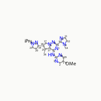 COc1cnc(Nc2nc(-c3nccn3C)nn3cc(-c4ccn(C(C)C)n4)c(C)c23)nc1